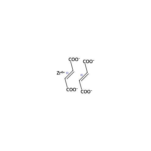 O=C([O-])/C=C/C(=O)[O-].O=C([O-])/C=C/C(=O)[O-].[Zr+4]